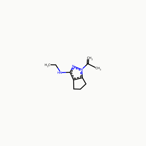 C=C(C)n1nc(NCC)c2c1CCC2